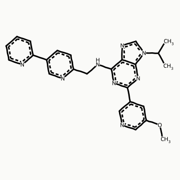 COc1cncc(-c2nc(NCc3ccc(-c4ccccn4)cn3)c3ncn(C(C)C)c3n2)c1